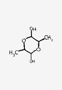 CC1OC(O)C(C)OC1O